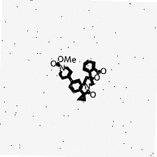 COC(=O)N1CC=C(c2ccc(C3(C(=O)N4CCC5(C4)OC(=O)c4ccccc45)CC3)cc2)CC1